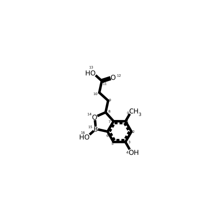 Cc1cc(O)cc2c1C(CCC(=O)O)OB2O